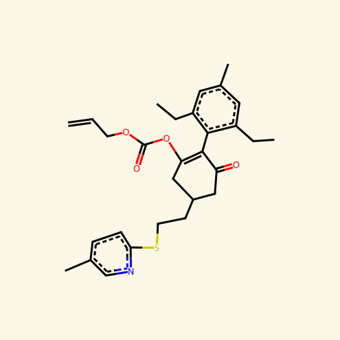 C=CCOC(=O)OC1=C(c2c(CC)cc(C)cc2CC)C(=O)CC(CCSc2ccc(C)cn2)C1